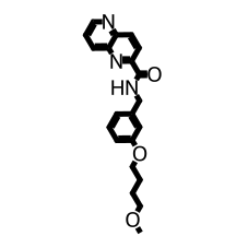 COCCCCOc1cccc(CNC(=O)c2ccc3ncccc3n2)c1